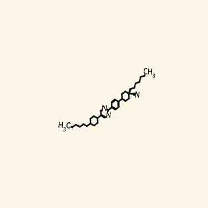 CCCCCCCC1(C#N)CCC(c2ccc(-c3ncc(C4CCC(CCCCCC)CC4)cn3)cc2)CC1